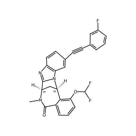 CN1C(=O)c2cccc(OC(F)F)c2[C@H]2C[C@@H]1c1nc3ccc(C#Cc4cccc(F)c4)cc3n12